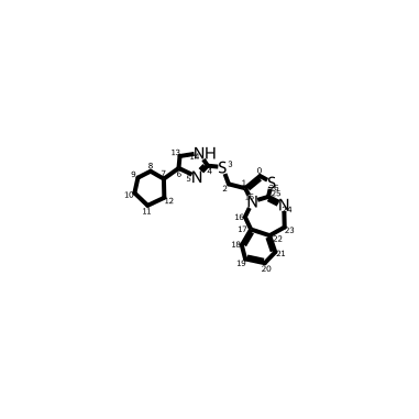 C1=C(CSC2=NC(C3CCCCC3)CN2)N2Cc3ccccc3CN=C2S1